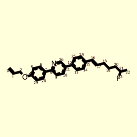 C=CCOc1ccc(-c2ccc(-c3ccc(/C=C/CCCC(C)F)cc3)cn2)cc1